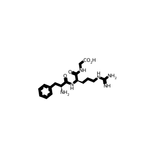 N=C(N)NCCC[C@@H](NC(=O)[C@H](N)Cc1ccccc1)C(=O)NCC(=O)O